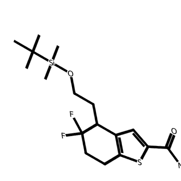 CC(C)(C)[Si](C)(C)OCCC1c2cc(C(N)=O)sc2CCC1(F)F